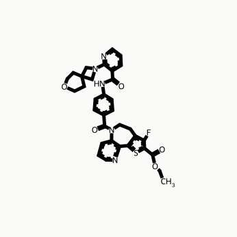 CCOC(=O)c1sc2c(c1F)CCN(C(=O)c1ccc(NC(=O)c3cccnc3N3CC4(CCOCC4)C3)cc1)c1cccnc1-2